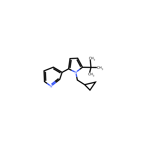 CC(C)(C)c1ccc(-c2cccnc2)n1CC1CC1